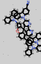 N#Cc1ccc2c(c1)c1ccccc1n2-c1cnc2c(c1)C1(c3ccc(-n4c5ccccc5c5ccccc54)cc3Oc3ccc(-c4ccc5c(c4)c4ccccc4n5-c4ccccc4-n4c5ccccc5c5ccccc54)cc31)c1cccnc1-2